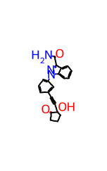 NC(=O)c1nn(-c2cccc(C#C[C@@]3(O)CCCC3=O)c2)c2ccccc12